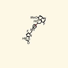 COc1ccc2ncc(F)c(CC(O)C34CCC(NCc5nc6c(cc5F)NCC(=O)O6)(CC3)CO4)c2n1